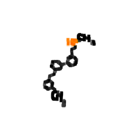 CCPCCc1cccc(-c2cccc(CCc3cccc(CC)c3)c2)c1